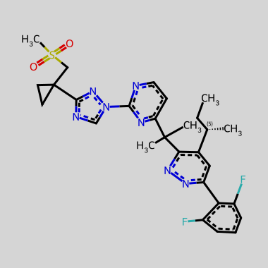 CC[C@H](C)c1cc(-c2c(F)cccc2F)nnc1C(C)(C)c1ccnc(-n2cnc(C3(CS(C)(=O)=O)CC3)n2)n1